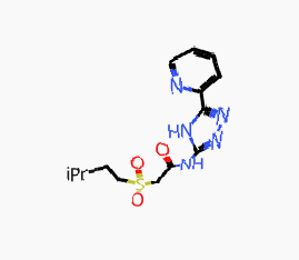 CC(C)CCS(=O)(=O)CC(=O)Nc1nnc(-c2ccccn2)[nH]1